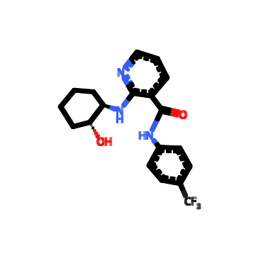 O=C(Nc1ccc(C(F)(F)F)cc1)c1cccnc1N[C@@H]1CCCC[C@H]1O